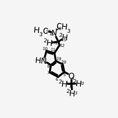 [2H]C([2H])([2H])Oc1ccc2[nH]cc(CC([2H])([2H])N(C)C)c2c1